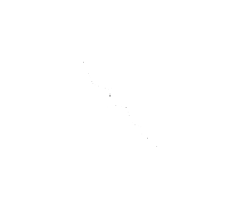 COPOCOCCCl